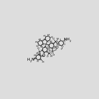 Cc1cc(N)ccc1Oc1c(C(C)(C)C)cc(C2(c3cc(C(C)(C)C)c(Oc4ccc(N)cc4C)c(C(C)(C)C)c3)c3ccccc3-c3ccccc32)cc1C(C)(C)C